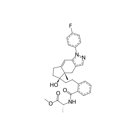 COC(=O)[C@@H](C)NC(=O)c1ccccc1CC[C@]1(O)CCC2=Cc3c(cnn3-c3ccc(F)cc3)C[C@@]21C